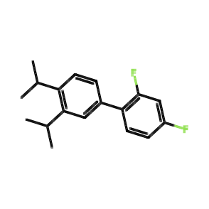 CC(C)c1ccc(-c2ccc(F)cc2F)cc1C(C)C